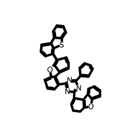 C1=C(c2nc(-c3ccccc3)nc(-c3cccc4oc5c(-c6cccc7c6sc6ccccc67)cccc5c34)n2)c2c(oc3ccccc23)CC1